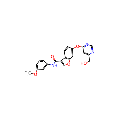 O=C(Nc1cccc(OC(F)(F)F)c1)c1coc2cc(Oc3cc(CO)ncn3)ccc12